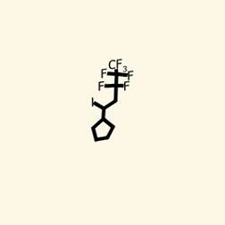 FC(F)(F)C(F)(F)C(F)(F)CC(I)C1CCCC1